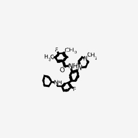 Cc1cc(C(=O)Nc2cc(-c3cc(CNC4CCCCC4)ccc3F)ccc2N2CCN(C)CC2)cc(C)c1F